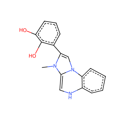 CN1C(c2cccc(O)c2O)=CN2C1=CNc1ccccc12